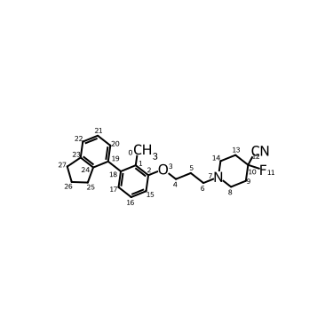 Cc1c(OCCCN2CCC(F)(C#N)CC2)cccc1-c1cccc2c1CCC2